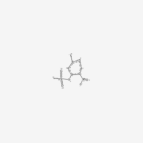 [CH2]c1ccc([N+](=O)[O-])c(OS(C)(=O)=O)c1